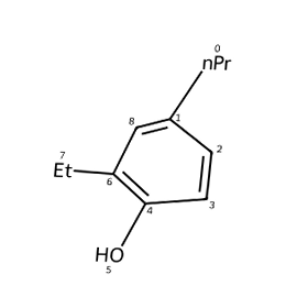 CCCc1ccc(O)c(CC)c1